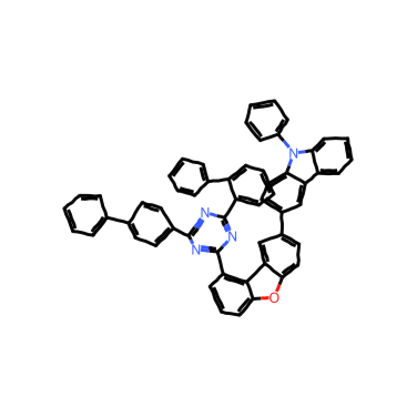 c1ccc(-c2ccc(-c3nc(-c4ccccc4-c4ccccc4)nc(-c4cccc5oc6ccc(-c7ccc8c(c7)c7ccccc7n8-c7ccccc7)cc6c45)n3)cc2)cc1